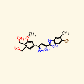 COc1cc(-c2cc(-c3nc4cc(C)c(Br)cc4[nH]3)[nH]n2)cc(CO)c1CO